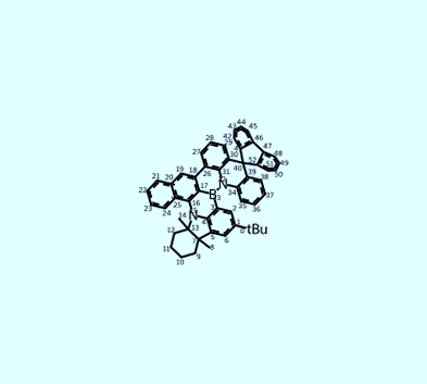 CC(C)(C)c1cc2c3c(c1)C1(C)CCCCC1(C)N3c1c3c(cc4ccccc14)-c1cccc4c1N(B23)c1ccccc1C41c2ccccc2-c2ccccc21